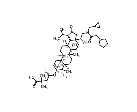 CC(C)C1=C2[C@H]3CC[C@@H]4[C@@]5(C)CC[C@H](OC(=O)CC(C)(C)C(=O)O)C(C)(C)[C@H]5CC[C@@]4(C)[C@]3(C)CCC2(C(O)CN(CC2CC2)C(=O)CN2CCCC2)CC1=O